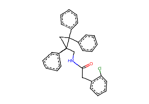 O=C(Cc1ccccc1Cl)NCC1(c2ccccc2)CC1(c1ccccc1)c1ccccc1